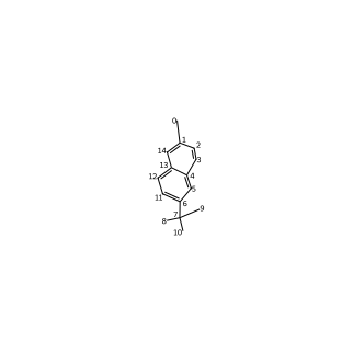 Cc1ccc2cc(C(C)(C)C)ccc2c1